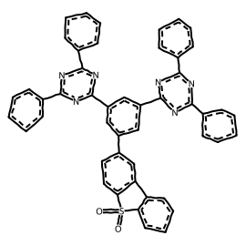 O=S1(=O)c2ccccc2-c2cc(-c3cc(-c4nc(-c5ccccc5)nc(-c5ccccc5)n4)cc(-c4nc(-c5ccccc5)nc(-c5ccccc5)n4)c3)ccc21